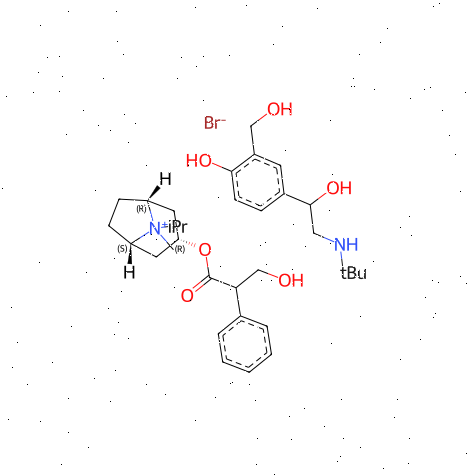 CC(C)(C)NCC(O)c1ccc(O)c(CO)c1.CC(C)[N+]1(C)[C@@H]2CC[C@H]1C[C@@H](OC(=O)C(CO)c1ccccc1)C2.[Br-]